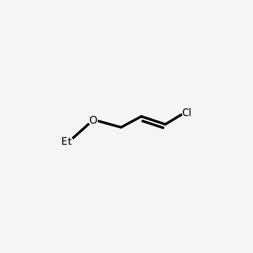 [CH2]COCC=CCl